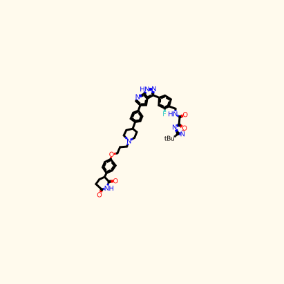 CC(C)(C)c1noc(C(=O)NCc2ccc(-c3n[nH]c4ncc(-c5ccc(C6CCN(CCCOc7ccc(C8CCC(=O)NC8=O)cc7)CC6)cc5)cc34)cc2F)n1